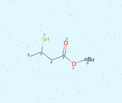 CCCCOC(=O)CC(C)S